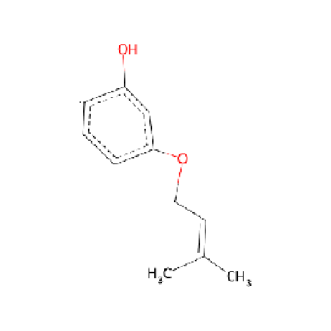 CC(C)=CCOc1cc[c]c(O)c1